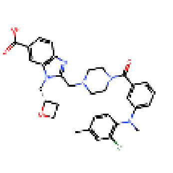 Cc1ccc(N(C)c2cccc(C(=O)N3CCN(Cc4nc5ccc(C(=O)O)cc5n4C[C@@H]4CCO4)CC3)c2)c(Cl)c1